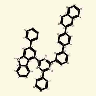 c1ccc(-c2cc(-c3nc(-c4ccccc4)nc(-c4cccc(-c5ccc(-c6ccc7ccccc7c6)cc5)c4)n3)c3c(c2)oc2ccccc23)cc1